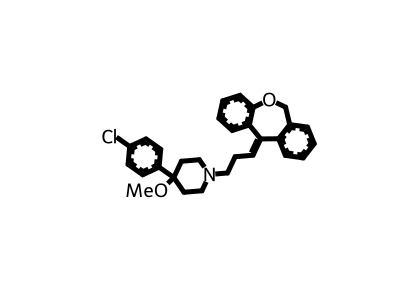 COC1(c2ccc(Cl)cc2)CCN(CCC=C2c3ccccc3COc3ccccc32)CC1